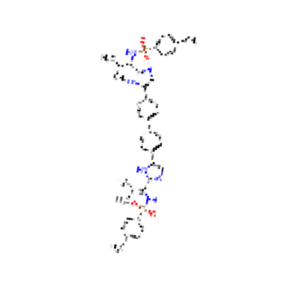 Cc1ccc(S(=O)(=O)NC(c2ncc(-c3ccc(-c4ccc(-c5cnc([C@@H](NS(=O)(=O)c6ccc(C)cc6)C(C)C)[nH]5)cc4)cc3)[nH]2)C(C)C)cc1